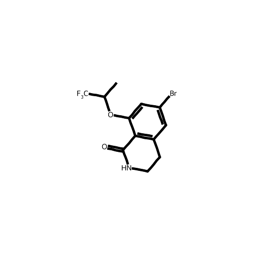 CC(Oc1cc(Br)cc2c1C(=O)NCC2)C(F)(F)F